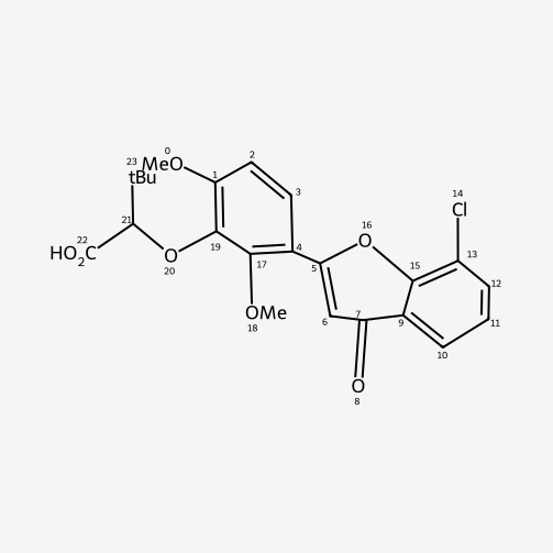 COc1ccc(-c2cc(=O)c3cccc(Cl)c3o2)c(OC)c1OC(C(=O)O)C(C)(C)C